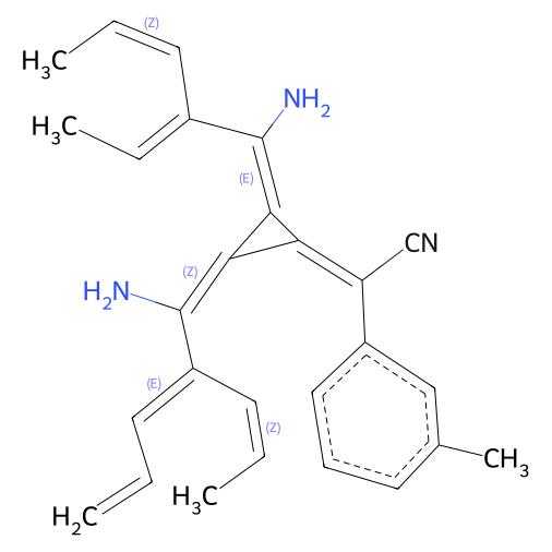 C=C/C=C(\C=C/C)C(/N)=C1\C(=C(C#N)c2cccc(C)c2)\C1=C(/N)C(=CC)/C=C\C